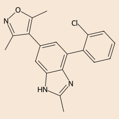 Cc1nc2c(-c3ccccc3Cl)cc(-c3c(C)noc3C)cc2[nH]1